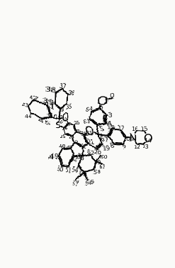 COc1ccc(C2(c3ccc(N4CCOCC4)cc3)C=Cc3c4c(c5cc6c(cc5c3O2)OC(C2CCCCC2)(C2CCCCC2)S6)-c2ccccc2C42CC(C)(C)CC(C)(C)C2)cc1